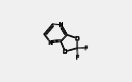 FC1(F)Oc2nccnc2O1